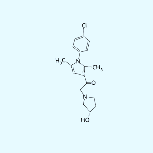 Cc1cc(C(=O)CN2CC[C@H](O)C2)c(C)n1-c1ccc(Cl)cc1